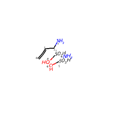 C=CCN.N.O=S(=O)(O)O.O=S(=O)(O)O